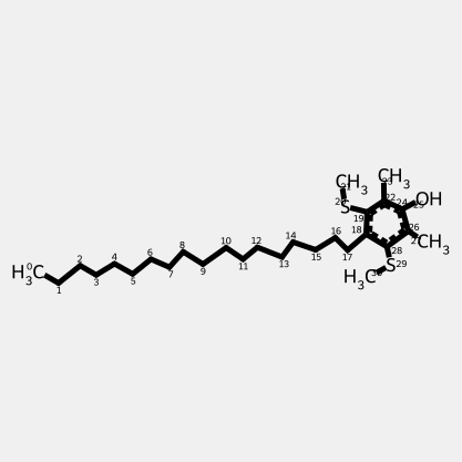 CCCCCCCCCCCCCCCCCCc1c(SC)c(C)c(O)c(C)c1SC